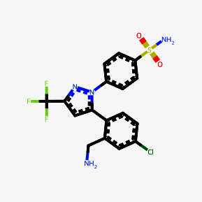 NCc1cc(Cl)ccc1-c1cc(C(F)(F)F)nn1-c1ccc(S(N)(=O)=O)cc1